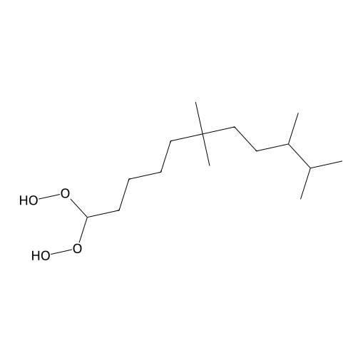 CC(C)C(C)CCC(C)(C)CCCCC(OO)OO